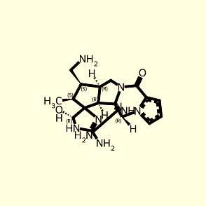 C[C@H]1[C@@H](CN)[C@H]2CN3C(=O)c4cccn4[C@H]4NC(N)=NC43[C@H]2C12N=C(N)N[C@@H]2O